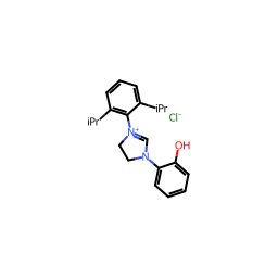 CC(C)c1cccc(C(C)C)c1[N+]1=CN(c2ccccc2O)CC1.[Cl-]